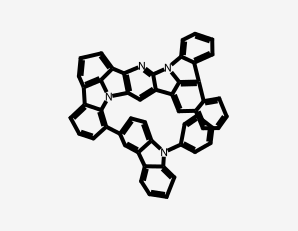 c1ccc(-n2c3ccccc3c3cc(-c4cccc5c6cccc7c8nc9c(cc8n(c45)c67)c4cc5ccccc5c5c6ccccc6n9c45)ccc32)cc1